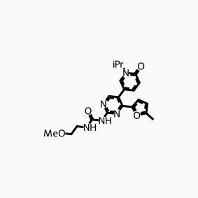 COCCNC(=O)Nc1ncc(-c2ccc(=O)n(C(C)C)c2)c(-c2ccc(C)o2)n1